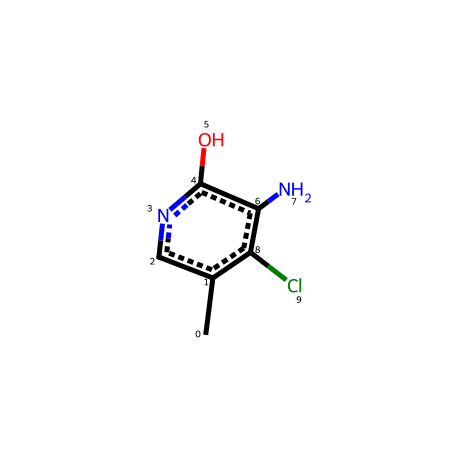 Cc1cnc(O)c(N)c1Cl